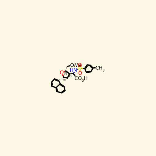 COC[C@H]1O[C@@H](c2cccc3ccccc23)C[C@@H]1C(NS(=O)(=O)c1ccc(C)cc1)C(=O)O